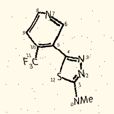 CNc1nnc(-c2cnccc2C(F)(F)F)s1